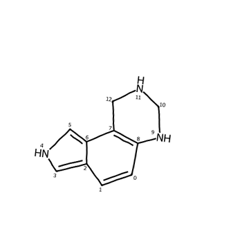 c1cc2c[nH]cc2c2c1NCNC2